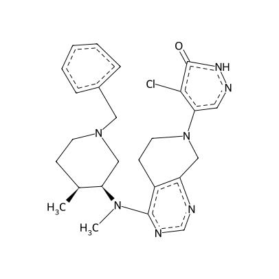 C[C@H]1CCN(Cc2ccccc2)C[C@H]1N(C)c1ncnc2c1CCN(c1cn[nH]c(=O)c1Cl)C2